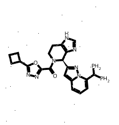 O=C(c1nnc(C2CCC2)o1)N1CCc2[nH]cnc2[C@H]1c1cc2cccc(C(P)P)n2n1